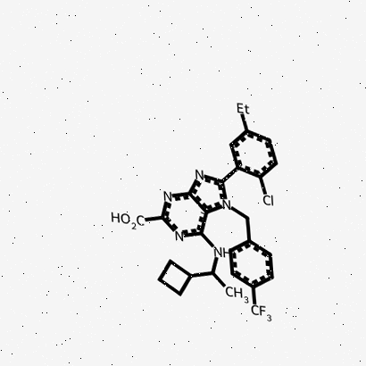 CCc1ccc(Cl)c(-c2nc3nc(C(=O)O)nc(NC(C)C4CCC4)c3n2Cc2ccc(C(F)(F)F)cc2)c1